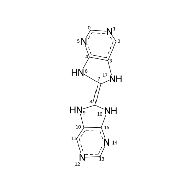 c1ncc2c(n1)N/C(=C1\Nc3cncnc3N1)N2